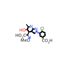 CON=C(C(=O)O)c1c(O)c(C)nc2nn(-c3cc(C(=O)O)ccc3Cl)cc12